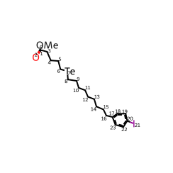 COC(=O)CCCC[Te]CCCCCCCCCc1ccc(I)cc1